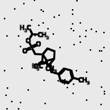 Cc1ccc(/C=C2/C(=O)C3(CS(=O)(=O)OC(C)C)CCC2C3(C)C)cc1